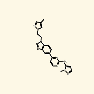 Cc1cnn(CCn2nnc3cc(-c4ccnc(Nc5ccnn5C)n4)ccc32)c1